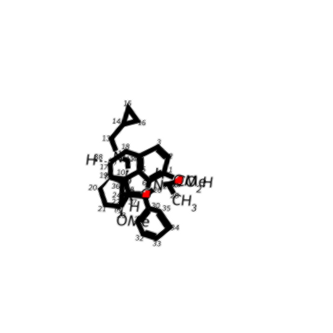 COc1ccc2c3c1O[C@@H]1[C@]34CCN(CC3CC3)[C@H](C2)[C@]42CC[C@@]1(OC)C(C(NC(C)C(=O)O)c1ccccc1)C2